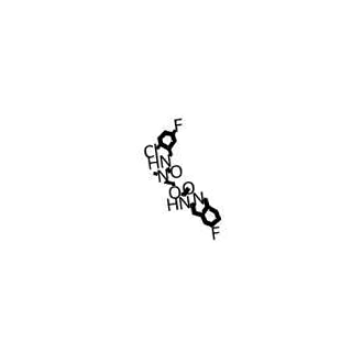 CN(CCOC(=O)Nc1cc2cc(F)ccc2cn1)C(=O)NCc1cc(F)ccc1Cl